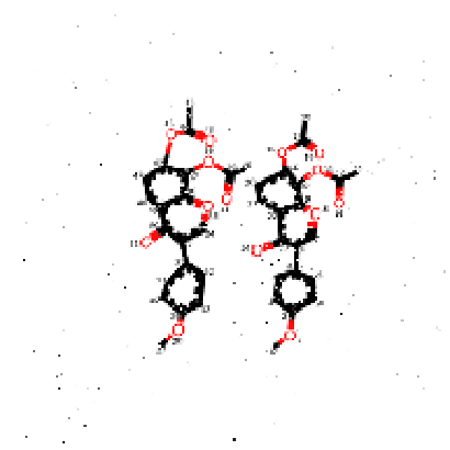 COc1ccc(-c2coc3c(OC(C)=O)c(OC(C)=O)ccc3c2=O)cc1.COc1ccc(-c2coc3c(OC(C)=O)c(OC(C)=O)ccc3c2=O)cc1